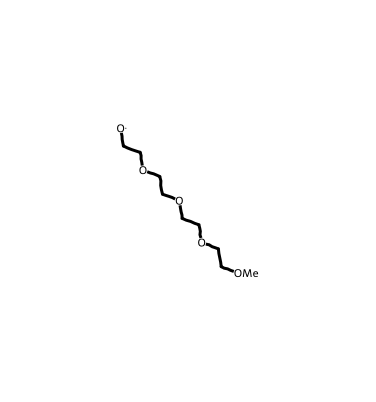 COCCOCCOCCOCC[O]